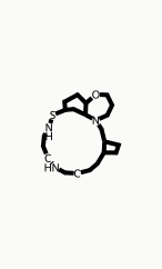 C1CCC2CCC2CN2CCCOC3CCC(CC32)SNCCCNC1